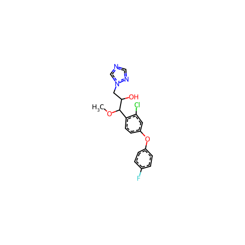 COC(c1ccc(Oc2ccc(F)cc2)cc1Cl)C(O)Cn1cncn1